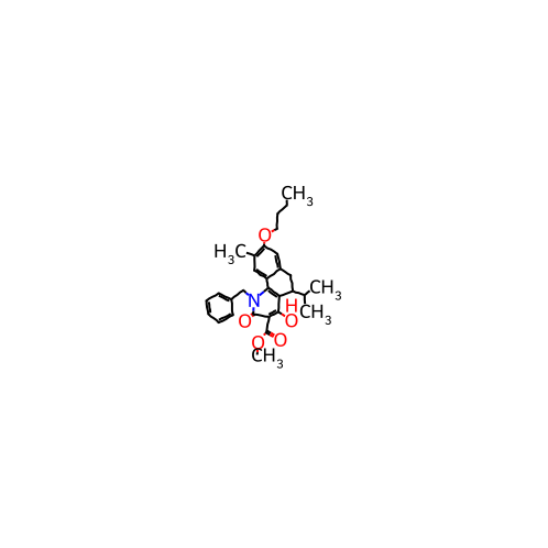 CCCCOc1cc2c(cc1C)-c1c(c(O)c(C(=O)OC)c(=O)n1Cc1ccccc1)C(C(C)C)C2